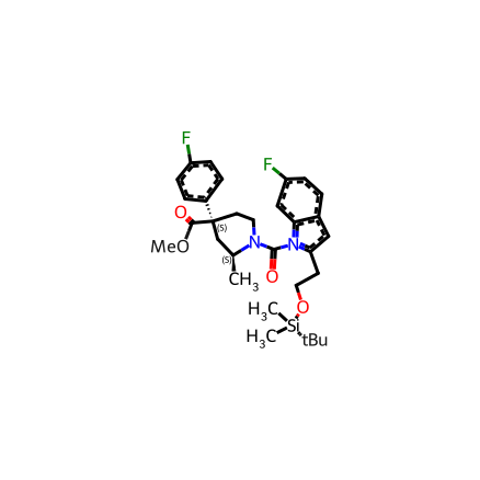 COC(=O)[C@@]1(c2ccc(F)cc2)CCN(C(=O)n2c(CCO[Si](C)(C)C(C)(C)C)cc3ccc(F)cc32)[C@@H](C)C1